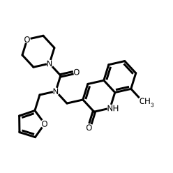 Cc1cccc2cc(CN(Cc3ccco3)C(=O)N3CCOCC3)c(=O)[nH]c12